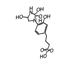 O=S(=O)(O)CCCc1ccc(N2CC(O)NS2(O)O)c(O)c1